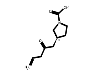 C=CCC(=O)C[C@@H]1CCN(C(=O)O)C1